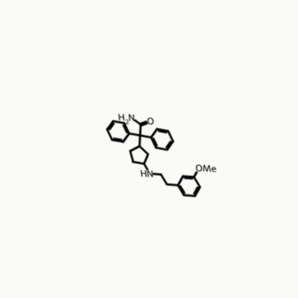 COc1cccc(CCNC2CCC(C(C(N)=O)(c3ccccc3)c3ccccc3)C2)c1